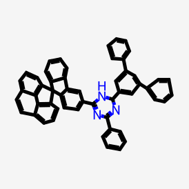 c1ccc(C2=NC(c3cc(-c4ccccc4)cc(-c4ccccc4)c3)NC(c3ccc4c(c3)-c3ccccc3C43c4cccc5ccc6cccc3c6c45)=N2)cc1